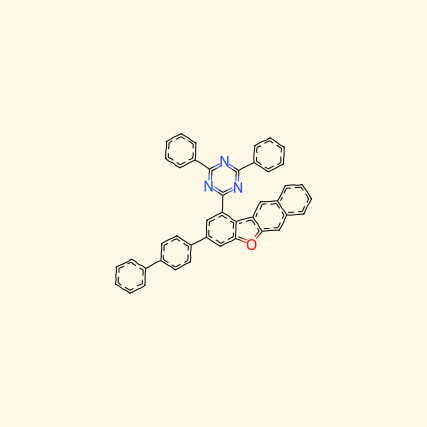 c1ccc(-c2ccc(-c3cc(-c4nc(-c5ccccc5)nc(-c5ccccc5)n4)c4c(c3)oc3cc5ccccc5cc34)cc2)cc1